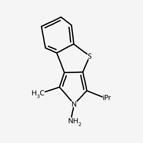 Cc1c2c(sc3ccccc32)c(C(C)C)n1N